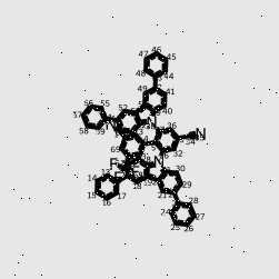 N#Cc1cc(-c2c(-n3c4ccc(-c5ccccc5)cc4c4cc(-c5ccccc5)ccc43)cc(C#N)cc2-n2c3ccc(-c4ccccc4)cc3c3cc(-c4ccccc4)ccc32)cc(C(F)(F)F)c1